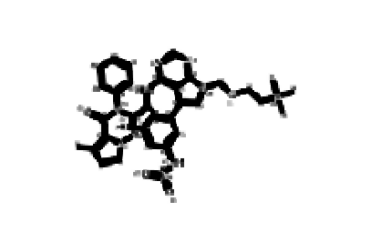 Cc1ccn2nc([C@H](C)Nc3ncnc4c3c(-c3cc(O)cc(N[SH](=O)=O)c3)cn4COCC[Si](C)(C)C)n(-c3ccccc3)c(=O)c12